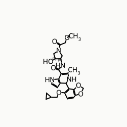 COCC(=O)N1C[C@H](O)[C@H](NC(=O)C2=C(C)NC(c3c(OCC4CC4)ccc4c3OCO4)c3cc[nH]c32)C1